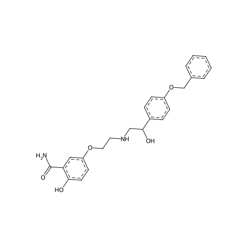 NC(=O)c1cc(OCCNCC(O)c2ccc(OCc3ccccc3)cc2)ccc1O